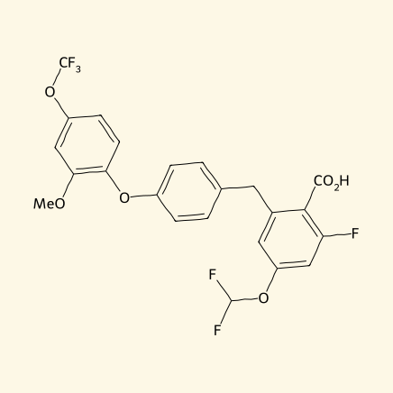 COc1cc(OC(F)(F)F)ccc1Oc1ccc(Cc2cc(OC(F)F)cc(F)c2C(=O)O)cc1